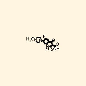 CCn1c2cc(N3CCN(C)CC3)c(F)cc2c(=O)c2c(=O)[nH]sc21